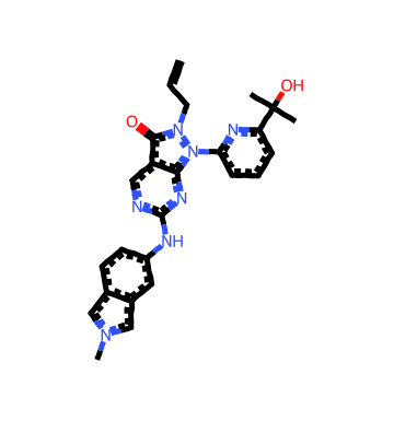 C=CCn1c(=O)c2cnc(Nc3ccc4cn(C)cc4c3)nc2n1-c1cccc(C(C)(C)O)n1